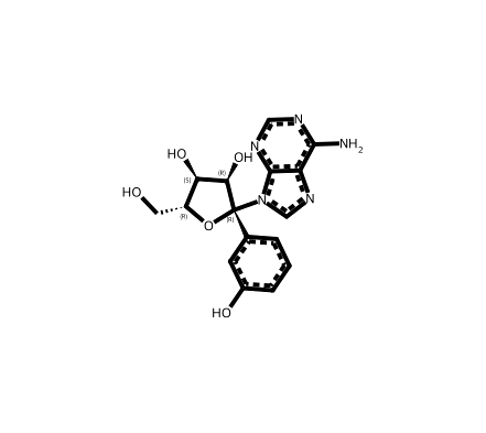 Nc1ncnc2c1ncn2[C@]1(c2cccc(O)c2)O[C@H](CO)[C@@H](O)[C@H]1O